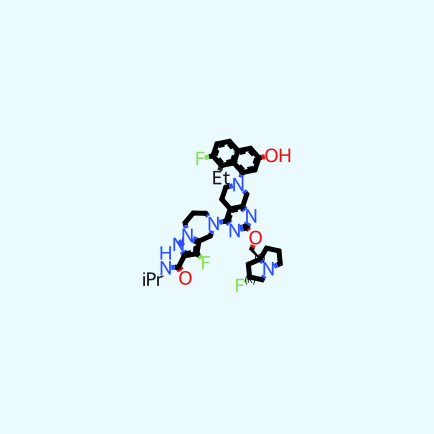 CCc1c(F)ccc2cc(O)cc(N3CCc4c(nc(OC[C@@]56CCCN5C[C@H](F)C6)nc4N4CCCn5nc(C(=O)NC(C)C)c(F)c5C4)C3)c12